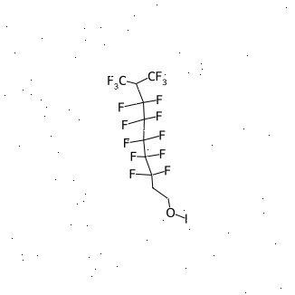 FC(F)(F)C(C(F)(F)F)C(F)(F)C(F)(F)C(F)(F)C(F)(F)C(F)(F)CCOI